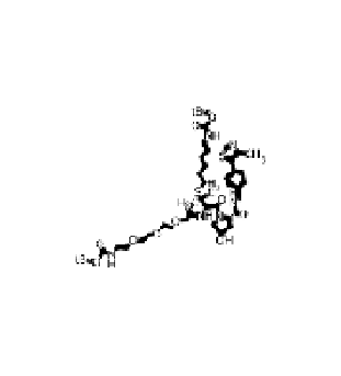 Cc1ncsc1-c1ccc(CNC(=O)[C@@H]2C[C@@H](O)CN2C(=O)[C@@H](NC(=O)COCCOCCOCCNC(=O)OC(C)(C)C)C(C)(C)SCCCCCCNC(=O)OC(C)(C)C)cc1